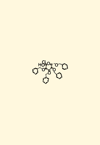 O[C@]1(Cl)O[C@H](COCc2ccccc2)[C@H](OCc2ccccc2)[C@H](OCc2ccccc2)[C@H]1OCc1ccccc1